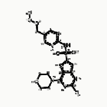 CCOOCc1cnc(NS(=O)(=O)c2cc3nc(Cl)nc(N4CCOCC4)c3s2)nc1